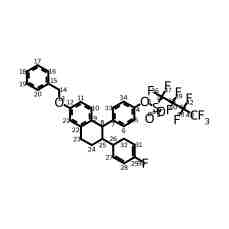 O=S(=O)(Oc1ccc(C2c3ccc(OCc4ccccc4)cc3CCC2C2C=CC(F)=CC2)cc1)C(F)(F)C(F)(F)C(F)(F)C(F)(F)F